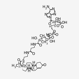 C[C@H](C(=O)SCCNC(=O)CCNC(=O)[C@H](O)C(C)(C)COP(=O)(O)OP(=O)(O)OC[C@H]1O[C@@H](n2cnc3c(N)ncnc32)[C@H](O)[C@@H]1OP(=O)(O)O)[C@H]1CC[C@H]2[C@@H]3CCC4=CC(=O)CC[C@]4(C)[C@H]3CC[C@]12C